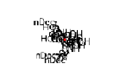 CCCCCCCCCCCC(=O)O[C@@H](CCCCCCCCCCC)CC(=O)NC1[C@H](OCC2O[C@H](OP(=O)(O)O)C(NC(=O)C[C@@H](O)CCCCCCCCCCC)[C@@H](O)[C@@H]2O)OC(CO)[C@@H](OP(=O)(O)O)[C@@H]1O